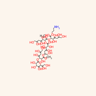 CO[C@H](O[C@H](CO)C[C@@H](O)C(O)C(O)[C@H](O)OC(C(O)[C@H](O)C[C@H](O)CO)[C@H](OC)OC(C(O)[C@H](O)C[C@H](O)CO)[C@H](O)OCCCN)C(O)C(O[C@H]1OC([C@H](O)CO)[C@@H](O)C(O)C1O)[C@H](O)C[C@H](O)CO